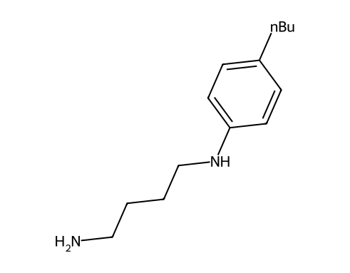 CCCCc1ccc(NCCCCN)cc1